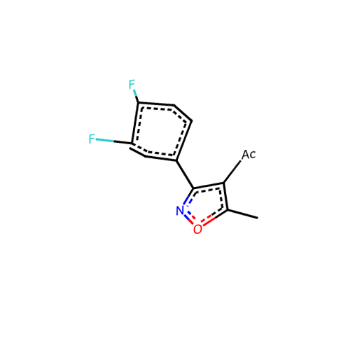 CC(=O)c1c(-c2ccc(F)c(F)c2)noc1C